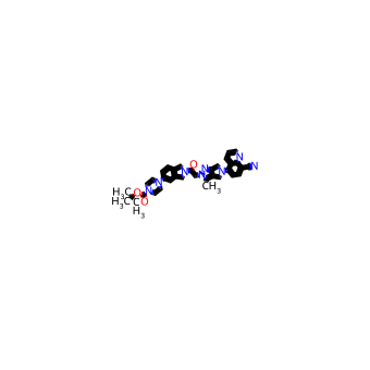 Cc1c2c(nn1CC(=O)N1Cc3ccc(N4CCN(C(=O)OC(C)(C)C)CC4)cc3C1)CN(c1ccc(C#N)c3ncccc13)C2